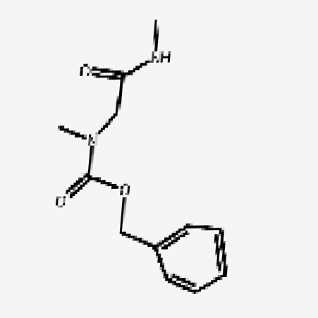 CNC(=O)CN(C)C(=O)OCc1ccccc1